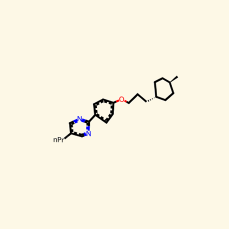 CCCc1cnc(-c2ccc(OCCC[C@H]3CC[C@H](C)CC3)cc2)nc1